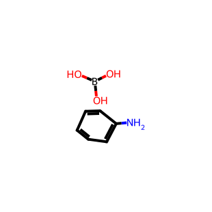 Nc1ccccc1.OB(O)O